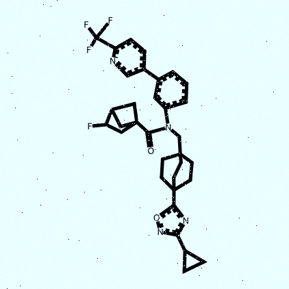 O=C(N(CC12CCC(c3nc(C4CC4)no3)(CC1)CC2)c1cccc(-c2ccc(C(F)(F)F)nc2)c1)C12CC(F)C(C1)C2